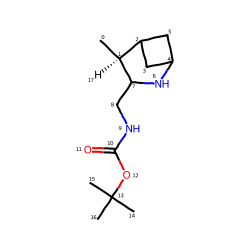 C[C@H]1C2CC(C2)NC1CNC(=O)OC(C)(C)C